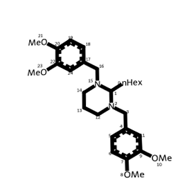 CCCCCCC1N(Cc2ccc(OC)c(OC)c2)CCCN1Cc1ccc(OC)c(OC)c1